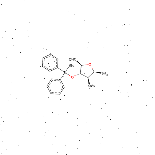 B[C@@H]1O[C@H](C=O)[C@@H](O[Si](c2ccccc2)(c2ccccc2)C(C)(C)C)[C@@H]1OC(C)=O